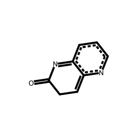 O=C1CC=c2ncccc2=N1